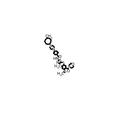 COc1cc(C)c(Sc2cnc(NC(=O)c3ccc(N4CCN(C5CCCCC(C)CCC5)CC4)cc3)s2)cc1C(=O)N1CCOCC1